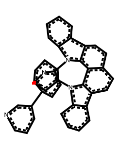 c1ccc(-n2c3ccccc3c3ccc4ccc5c6ccccc6n(-c6ccc(-c7cccnc7)cn6)c5c4c32)cc1